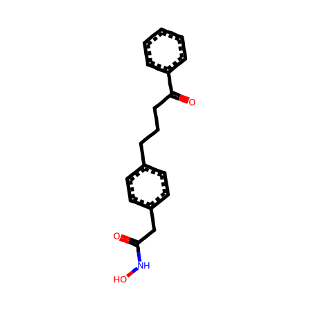 O=C(Cc1ccc(CCCC(=O)c2ccccc2)cc1)NO